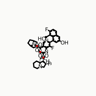 C#Cc1c(F)ccc2cc(O)cc(-c3ncc4c(N5CC6CCC(C5)N6C(=O)OCOC(C)=O)nc(OC[C@@]56CCCCN5C[C@H](F)C6)nc4c3F)c12